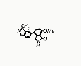 COc1ccc(-c2ccc3cnn(C)c3c2)c2c1C(=O)NC2